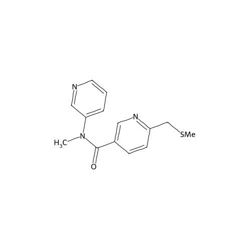 CSCc1ccc(C(=O)N(C)c2cccnc2)cn1